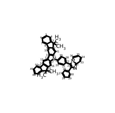 CC1(C)c2ccccc2-c2cc3c4cc5c(cc4n(-c4ccc(-c6c(-c7ccccc7)nc7ccccn67)cc4)c3cc21)C(C)(C)c1ccccc1-5